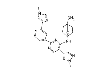 Cn1cc(-c2cccc(-c3ncc(-c4cnn(C)c4)c(NC45CCC(N)(CC4)CC5)n3)c2)cn1